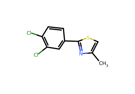 Cc1csc(-c2ccc(Cl)c(Cl)c2)n1